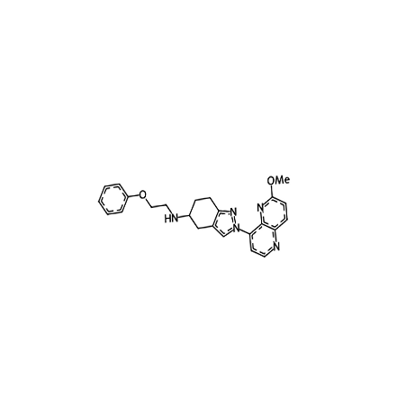 COc1ccc2nccc(-n3cc4c(n3)CCC(NCCOc3ccccc3)C4)c2n1